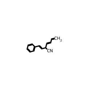 C=CC=CC(C#N)C=Cc1ccccc1